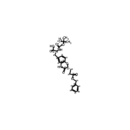 CC(C)(C)OC(=O)N[C@@H](Cc1ccc2c(c1)NC(=O)[C@@H](CCC(=O)OCc1ccccc1)O2)C(=O)O